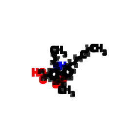 CCCCCCCCc1cccc(-c2c(NCCCC)cc(C(=O)O)cc2S(=O)(=O)CC)c1